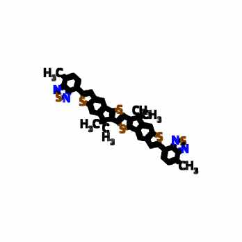 Cc1ccc(-c2cc3cc4c(cc3s2)C(C)(C)c2c-4sc3c4c(sc23)-c2cc3cc(-c5ccc(C)c6nsnc56)sc3cc2C4(C)C)c2nsnc12